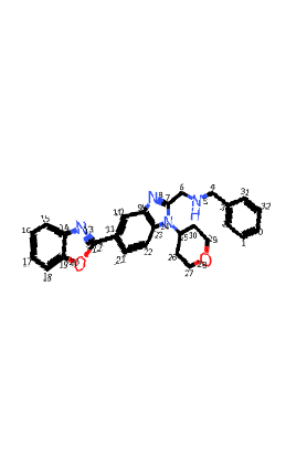 c1ccc(CNCc2nc3cc(-c4nc5ccccc5o4)ccc3n2C2CCOCC2)cc1